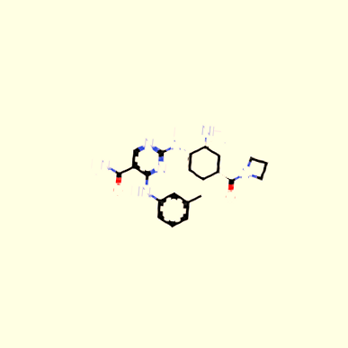 Cc1cccc(Nc2nc(N[C@H]3CC[C@H](C(=O)N4CCC4)C[C@@H]3N)ncc2C(N)=O)c1